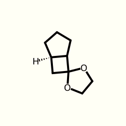 C1CC2[C@H](C1)CC21OCCO1